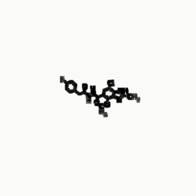 COc1c(C(=O)NNC(=O)Cc2ccc(F)cc2)cc(Cl)c2[nH]c(C)nc12